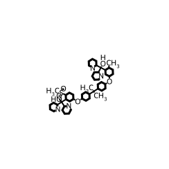 Cc1ccc(Oc2ccc(C(C)(C)c3ccc(Oc4ccc(S(C)(=O)=O)c(C(O)(c5ccccn5)c5ccccn5)c4)cc3)cc2)cc1C(O)(c1ccccn1)c1ccccn1